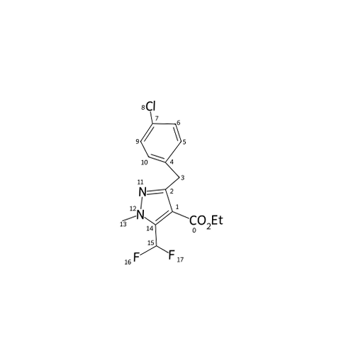 CCOC(=O)c1c(Cc2ccc(Cl)cc2)nn(C)c1C(F)F